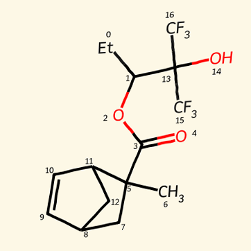 CCC(OC(=O)C1(C)CC2C=CC1C2)C(O)(C(F)(F)F)C(F)(F)F